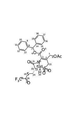 CC(=O)OCC1=C(C(=O)OC(c2ccccc2)c2ccccc2)N2C(=O)[C@@H](CSC(=O)C(F)(F)F)[C@H]2S(=O)(=O)C1